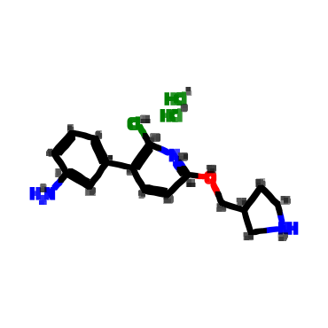 Cl.Cl.Nc1cccc(-c2ccc(OCC3CCNC3)nc2Cl)c1